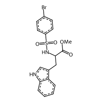 COC(=O)C(Cc1c[nH]c2ccccc12)NS(=O)(=O)c1ccc(Br)cc1